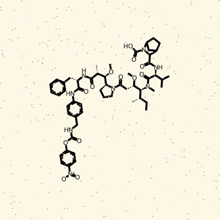 CC[C@H](C)[C@@H]([C@H](CC(=O)N1CCC[C@H]1[C@H](OC)[C@@H](C)C(=O)N[C@@H](Cc1ccccc1)C(=O)Nc1ccc(CNC(=O)Oc2ccc([N+](=O)[O-])cc2)cc1)OC)N(C)C(=O)[C@@H](NC(=O)C1C2CCC(C2)N1C(=O)O)C(C)C